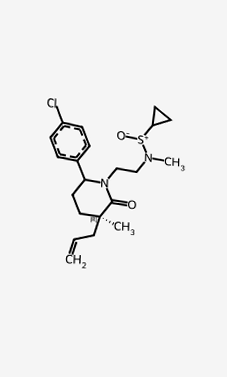 C=CC[C@@]1(C)CCC(c2ccc(Cl)cc2)N(CCN(C)[S+]([O-])C2CC2)C1=O